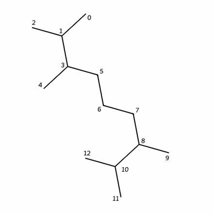 CC(C)C(C)CCCC(C)C(C)C